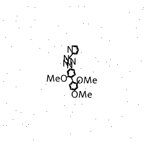 COc1ccc(-c2ccc(-n3nnc(-c4ccccn4)n3)cc2OC)c(OC)c1